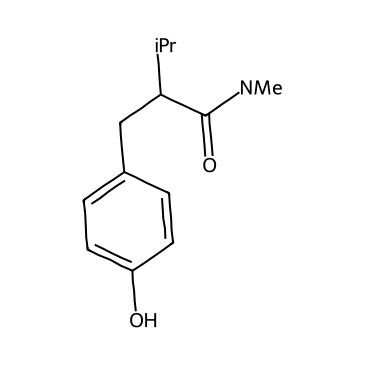 CNC(=O)C(Cc1ccc(O)cc1)C(C)C